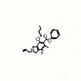 C=CCN1Cc2c(F)c(C)c(C(=O)Oc3ccccc3)c(OCCCC)c2C1